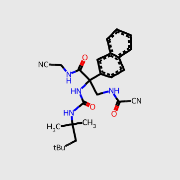 CC(C)(C)CC(C)(C)NC(=O)NC(CNC(=O)C#N)(C(=O)NCC#N)c1ccc2ccccc2c1